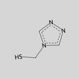 SCn1cnnc1